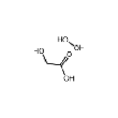 O=C(O)CO.OO